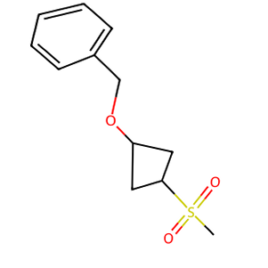 CS(=O)(=O)C1CC(OCc2ccccc2)C1